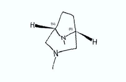 CN1[C@@H]2CC[C@H]1CN(I)C2